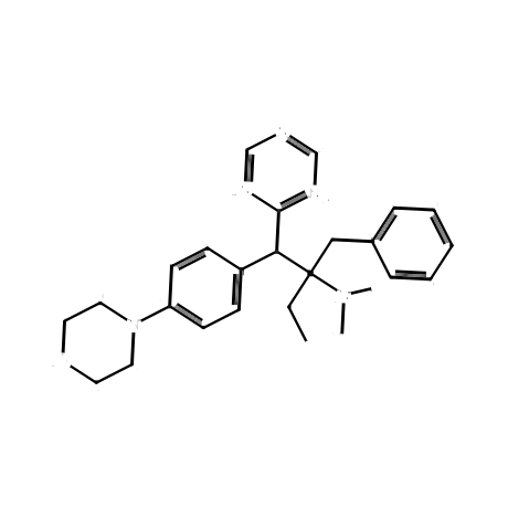 CCC(Cc1ccccc1)(C(c1ccc(N2CCOCC2)cc1)c1ncncn1)N(C)C